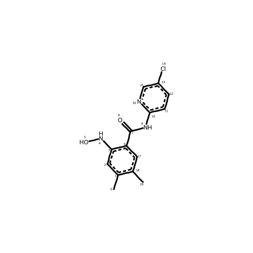 Cc1cc(NO)c(C(=O)Nc2ccc(Cl)cn2)cc1C